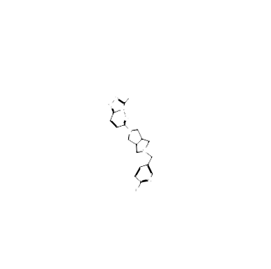 FC(F)(F)c1nnc2ccc(N3CC4CN(Cc5ccc(Br)nc5)CC4C3)nn12